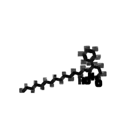 CCCCCCCCCCCCCCC1C(c2ccccc2)CCC(=O)N1O